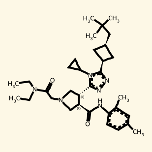 CCN(CC)C(=O)CN1C[C@H](C(=O)Nc2ccc(C)cc2C)[C@@H](c2nnc([C@H]3C[C@@H](CC(C)(C)C)C3)n2C2CC2)C1